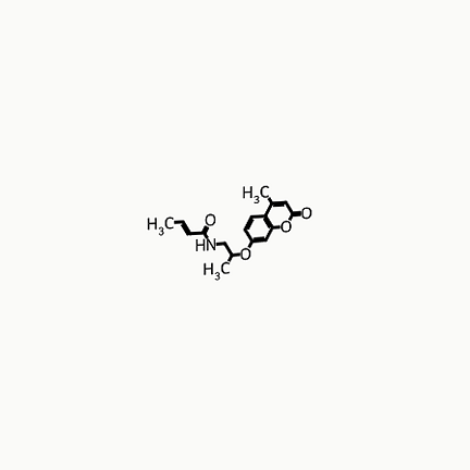 CC=CC(=O)NCC(C)Oc1ccc2c(C)cc(=O)oc2c1